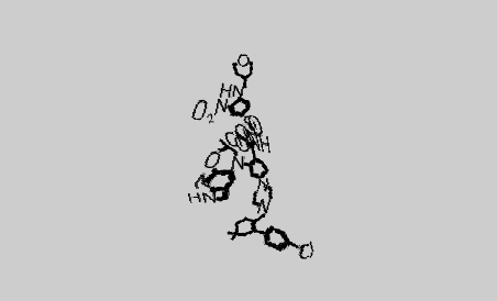 CC1(C)CCC(CN2CCN(c3ccc(C(=O)NS(=O)(=O)c4ccc(NCC5CCOCC5)c([N+](=O)[O-])c4)c(N4CC(C)(C#N)COc5nc6[nH]ccc6cc54)c3)CC2)=C(c2ccc(Cl)cc2)C1